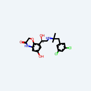 CC(C)(Cc1cc(Cl)cc(Cl)c1)NC[C@H](O)c1cc(O)cc2c1OCC(=O)N2